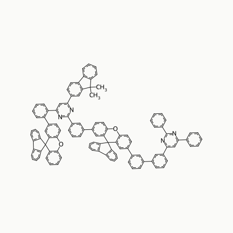 CC1(C)c2ccccc2-c2ccc(-c3cc(-c4ccccc4-c4ccc5c(c4)C4(c6ccccc6O5)c5ccccc5-c5ccccc54)nc(-c4cccc(-c5ccc6c(c5)C5(c7cc(-c8cccc(-c9cccc(-c%10cc(-c%11ccccc%11)nc(-c%11ccccc%11)n%10)c9)c8)ccc7O6)c6ccccc6-c6ccccc65)c4)n3)cc21